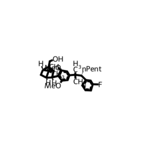 CCCCC[C@H](c1cccc(F)c1)C(C)(C)c1cc(OC)c([C@H]2C=C(CO)[C@H]3C[C@@H]2C3(C)C)c(OC)c1